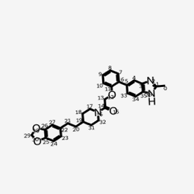 Cc1nc2cc(-c3ccccc3OCC(=O)N3CCC(CCc4ccc5c(c4)OCO5)CC3)ccc2[nH]1